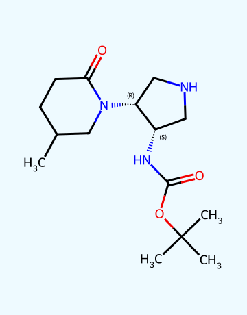 CC1CCC(=O)N([C@@H]2CNC[C@@H]2NC(=O)OC(C)(C)C)C1